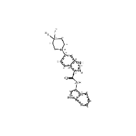 O=C(Nc1c[nH]c2ccccc12)c1n[nH]c2cc(N3CCC(F)(F)CC3)ccc12